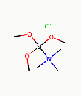 CO[Si](OC)(OC)[N+](C)(C)C.[Cl-]